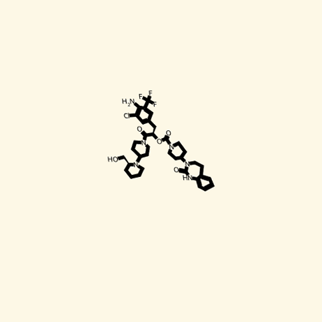 Nc1c(Cl)cc(C[C@@H](OC(=O)N2CCC(N3CCc4ccccc4NC3=O)CC2)C(=O)N2CCC(N3CCCC[C@H]3CO)CC2)cc1C(F)(F)F